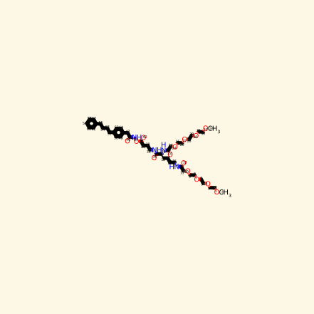 COCCOCCOCCOCC(=O)NCCCC[C@H](NC(=O)COCCOCCOCCOC)C(=O)NCCCC(=O)ONC(=O)Cc1ccc(CCCCc2ccccc2)cc1